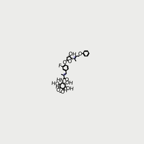 C/C(=C\c1ccc(O[C@H]2C[C@H](O)[C@@H](/C(C)=C/COc3ccccc3)O2)c(F)c1)C(=O)N[C@@H]1[C@H](O)[C@@H](O)[C@H]2OCO[C@H]2[C@@H]1O